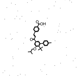 Cc1ccc(-c2cc(C(=O)C=Cc3ccc(C(=O)O)cc3)cc(OCC(C)C)c2C(C)(C)C)cc1